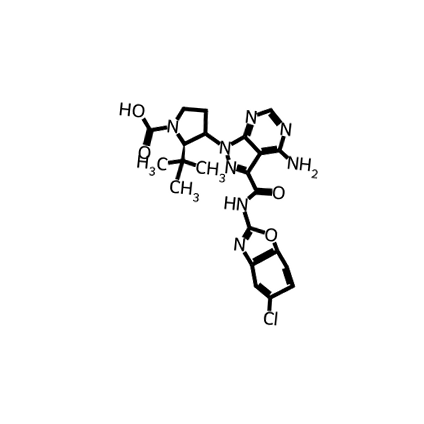 CC(C)(C)[C@@H]1C(n2nc(C(=O)Nc3nc4cc(Cl)ccc4o3)c3c(N)ncnc32)CCN1C(=O)O